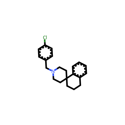 Clc1ccc(CN2CCC3(CCCc4ccccc43)CC2)cc1